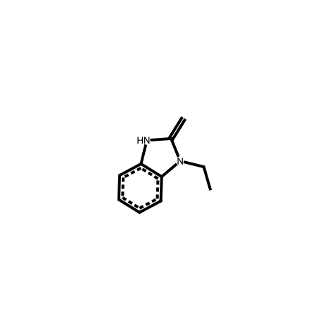 C=C1Nc2ccccc2N1CC